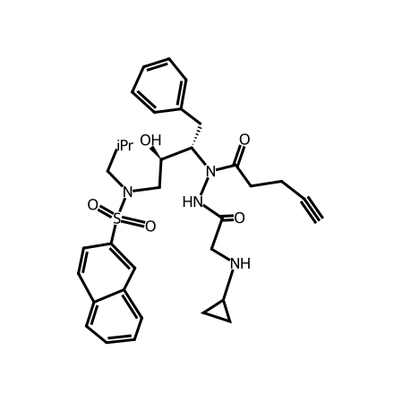 C#CCCC(=O)N(NC(=O)CNC1CC1)[C@@H](Cc1ccccc1)[C@H](O)CN(CC(C)C)S(=O)(=O)c1ccc2ccccc2c1